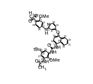 COc1cc(Nc2cc(Oc3ccc(NC(=O)Nc4cc(C(C)(C)C)cc(N[S+](C)[O-])c4OC)c4ccccc34)ccn2)ccc1S(C)(=O)=O